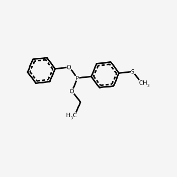 CCOP(Oc1ccccc1)c1ccc(SC)cc1